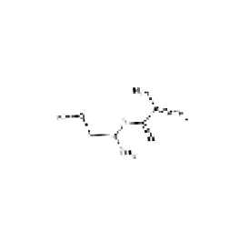 C=C(C)C(=O)OC(C)CSCCC